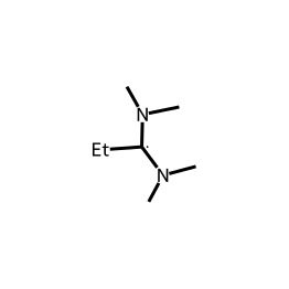 CC[C](N(C)C)N(C)C